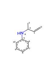 C=CC(C)Nc1cc[c]cc1